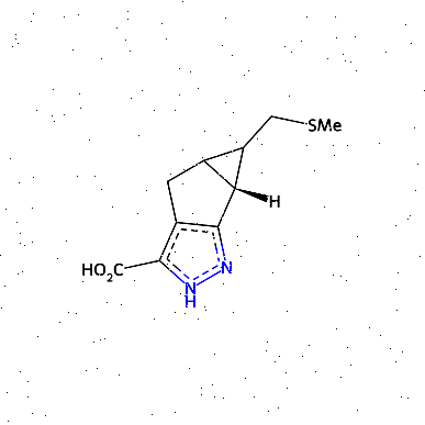 CSCC1C2Cc3c(n[nH]c3C(=O)O)[C@@H]12